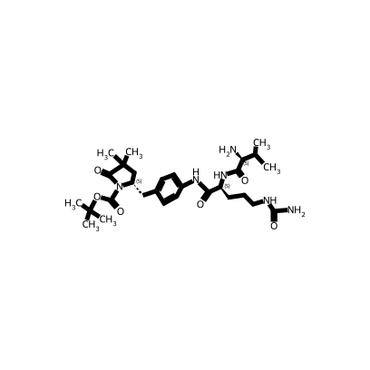 CC(C)[C@H](N)C(=O)N[C@@H](CCCNC(N)=O)C(=O)Nc1ccc(C[C@H]2CC(C)(C)C(=O)N2C(=O)OC(C)(C)C)cc1